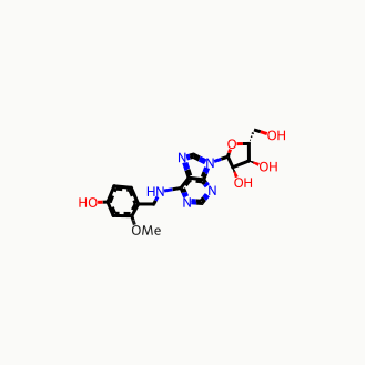 COc1cc(O)ccc1CNc1ncnc2c1ncn2C1O[C@H](CO)[C@@H](O)[C@H]1O